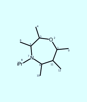 CC1OC(C)C(C)N(C(C)C)C(C)C1C